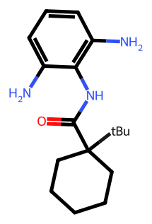 CC(C)(C)C1(C(=O)Nc2c(N)cccc2N)CCCCC1